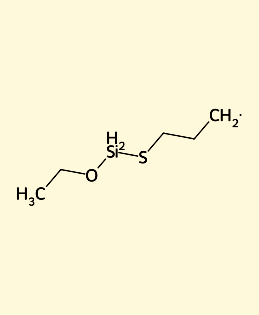 [CH2]CCS[SiH2]OCC